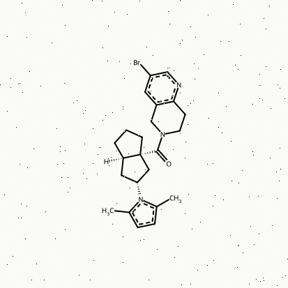 Cc1ccc(C)n1[C@@H]1C[C@H]2CCC[C@@]2(C(=O)N2CCc3ncc(Br)cc3C2)C1